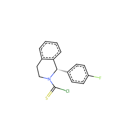 Fc1ccc([C@H]2c3ccccc3CCN2C(=S)Cl)cc1